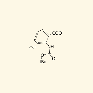 CC(C)(C)OC(=O)Nc1ccccc1C(=O)[O-].[Cs+]